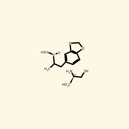 CCCCCCCC[S+]([O-])C(C)Cc1ccc2c(c1)OCO2.N[C@@H](CS)C(=O)O